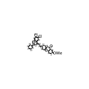 COc1ccc2c(c1)C(=O)CC1(CCN(CC[C@H](CN(C)c3ccccc3)c3ccc(Cl)c(Cl)c3)CC1)O2